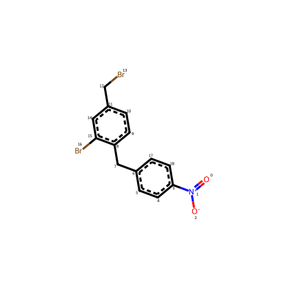 O=[N+]([O-])c1ccc(Cc2ccc(CBr)cc2Br)cc1